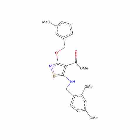 COC(=O)c1c(OCc2cccc(OC)c2)nsc1NCc1ccc(OC)cc1OC